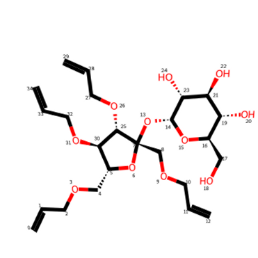 C=CCOC[C@H]1O[C@@](COCC=C)(O[C@H]2O[C@H](CO)[C@@H](O)[C@H](O)[C@H]2O)[C@@H](OCC=C)[C@@H]1OCC=C